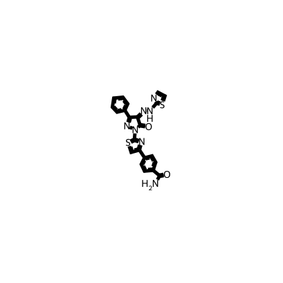 NC(=O)c1ccc(-c2csc(N3N=C(c4ccccc4)C(=NNc4nccs4)C3=O)n2)cc1